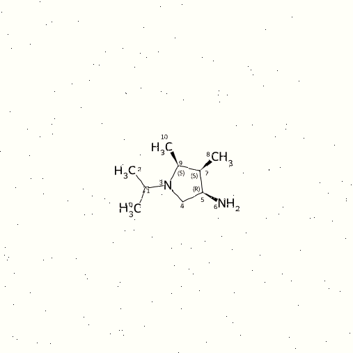 CC(C)N1C[C@H](N)[C@H](C)[C@@H]1C